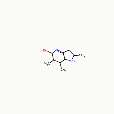 CC1CC2=NC(Br)C(C)C(C)C2N1